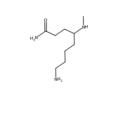 CNC(CCCCN)CCC(N)=O